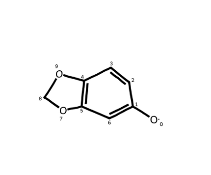 [O]c1ccc2c(c1)OCO2